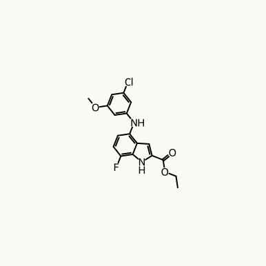 CCOC(=O)c1cc2c(Nc3cc(Cl)cc(OC)c3)ccc(F)c2[nH]1